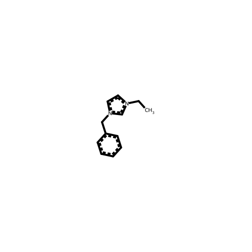 CCn1cc[n+](Cc2ccccc2)c1